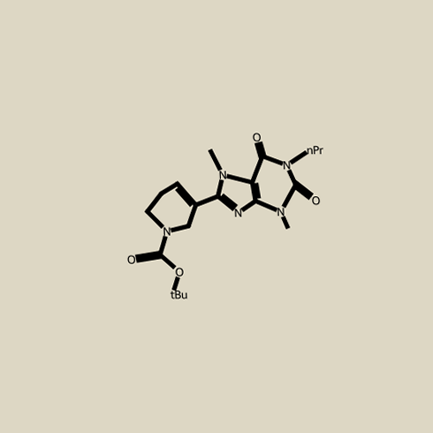 CCCn1c(=O)c2c(nc(C3=CCCN(C(=O)OC(C)(C)C)C3)n2C)n(C)c1=O